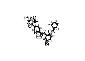 CCCS(=O)(=O)NC(=O)c1ccc(N(CC)Cc2cc(Br)ccc2OCc2ccccc2)nc1